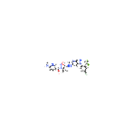 CN(C)c1ccc(C(=O)NC2(C(=O)NCc3ccc(Nc4ccc(Cl)cc4C(F)(F)F)cn3)CC2)cn1